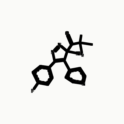 CC(C)(C)C(=O)C1(N)N=NC(c2ccc(F)cc2)=C1c1ccncc1